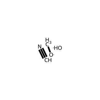 C#N.C[O].[OH]